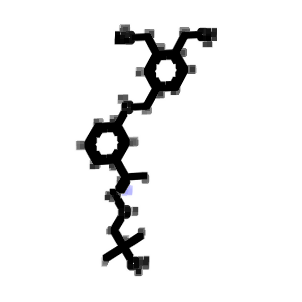 C/C(=N\OCC(C)(C)O)c1cccc(OCc2ccc(CO)c(CO)c2)c1